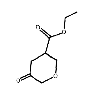 CCOC(=O)C1COCC(=O)C1